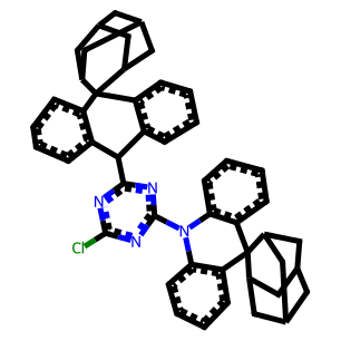 Clc1nc(C2c3ccccc3C3(c4ccccc42)C2CC4CC(C2)CC3C4)nc(N2c3ccccc3C3(c4ccccc42)C2CC4CC(C2)CC3C4)n1